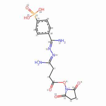 N/C(CCC(=O)ON1C(=O)CCC1=O)=N\N=C(/N)c1ccc(P(=O)(O)O)cc1